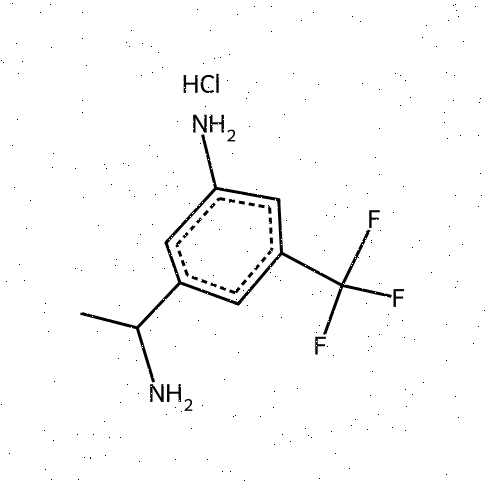 CC(N)c1cc(N)cc(C(F)(F)F)c1.Cl